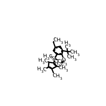 CCc1cc(C(C)(C)C)c(OC)c([Si](C)(C)C2=C(C)C(C)=C(C)C2C)c1